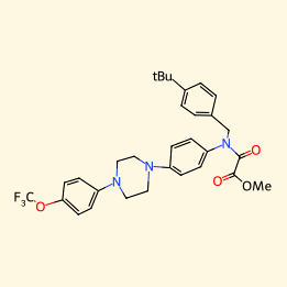 COC(=O)C(=O)N(Cc1ccc(C(C)(C)C)cc1)c1ccc(N2CCN(c3ccc(OC(F)(F)F)cc3)CC2)cc1